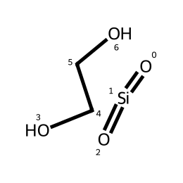 O=[Si]=O.OCCO